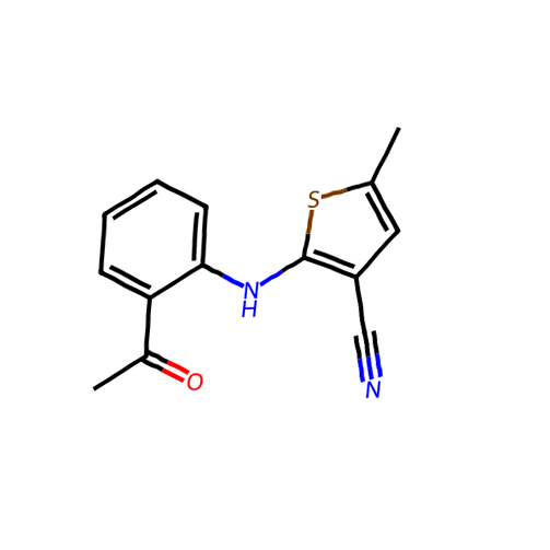 CC(=O)c1ccccc1Nc1sc(C)cc1C#N